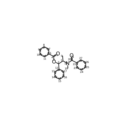 CC(C(OC(=O)c1ccccc1)c1ccccc1)N(C)C(=O)c1ccccc1